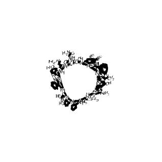 CCCC[C@H]1C(=O)N2C[C@H](O)C[C@@H]2C(=O)N[C@@H](CC(N)=O)C(=O)N[C@@H](C(C)C)C(=O)N(C)[C@@H](Cc2ccccc2)C(=O)N[C@@H](Cc2ccc(O)cc2)C(=O)N(C)[C@H](CCC(=O)O)C(=O)N[C@@H](Cc2c[nH]c3ccccc23)C(=O)N[C@@H](Cc2ccc(O)cc2)C(=O)N[C@@H](CCCCN)C(=O)N[C@H](C(=O)NCC(N)=O)CSCC(=O)N[C@@H](Cc2cc(F)c(F)c(F)c2)C(=O)N(C)[C@@H](Cc2ccccc2)C(=O)N1C